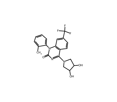 Cc1ccccc1-n1c(=O)nc(N2CC(O)C(O)C2)c2ccc(C(F)(F)F)cc21